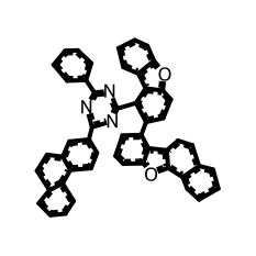 c1ccc(-c2nc(-c3ccc4c(ccc5ccccc54)c3)nc(-c3c(-c4cccc5oc6c7ccccc7ccc6c45)ccc4oc5ccccc5c34)n2)cc1